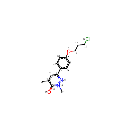 Cc1cc(-c2ccc(OCCCCl)cc2)nn(C)c1=O